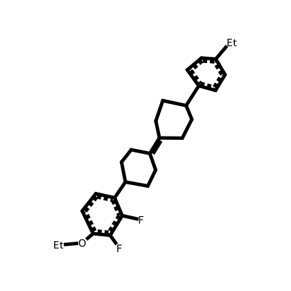 CCOc1ccc(C2CCC(=C3CCC(c4ccc(CC)cc4)CC3)CC2)c(F)c1F